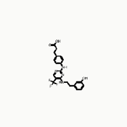 O=C(O)CCc1ccc(Nc2ncc(C(F)(F)F)c(NCCc3cccc(O)c3)n2)cc1